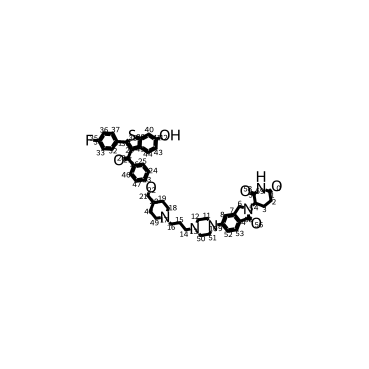 O=C1CCC(N2Cc3cc(N4CCN(CCCN5CCC(COc6ccc(C(=O)c7c(-c8ccc(F)cc8)sc8cc(O)ccc78)cc6)CC5)CC4)ccc3C2=O)C(=O)N1